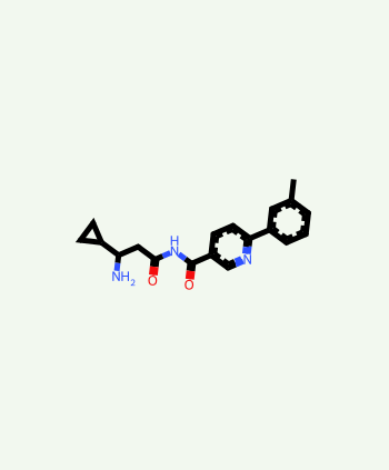 Cc1cccc(-c2ccc(C(=O)NC(=O)CC(N)C3CC3)cn2)c1